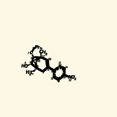 CC(C)O[C@H]1[C@@H](O)[C@]2(C)CC(c3ccc([N+](=O)[O-])cn3)=C[C@@]1(C)O2